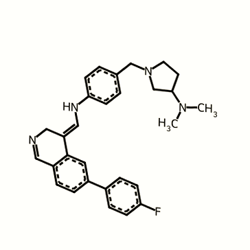 CN(C)C1CCN(Cc2ccc(NC=C3CN=Cc4ccc(-c5ccc(F)cc5)cc43)cc2)C1